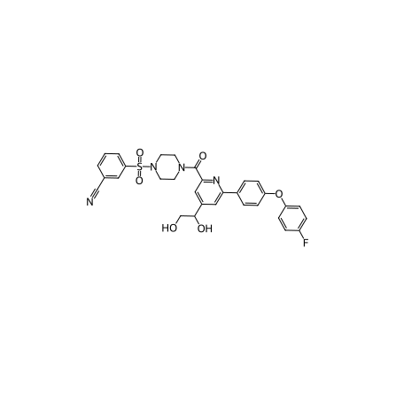 N#Cc1cccc(S(=O)(=O)N2CCN(C(=O)c3cc(C(O)CO)cc(-c4ccc(Oc5ccc(F)cc5)cc4)n3)CC2)c1